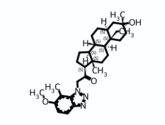 CC[C@]12CC[C@@](C)(O)C[C@@H]1CC[C@H]1[C@@H]3CC[C@H](C(=O)Cn4nnc5ccc(OC)c(C)c54)[C@@]3(C)CC[C@@H]12